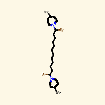 CC(C)c1cc[n+](C(Br)CCCCCCCCCCC(Br)[n+]2ccc(C(C)C)cc2)cc1